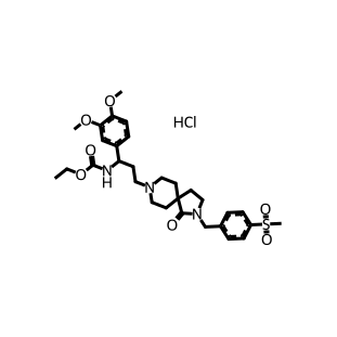 CCOC(=O)NC(CCN1CCC2(CC1)CCN(Cc1ccc(S(C)(=O)=O)cc1)C2=O)c1ccc(OC)c(OC)c1.Cl